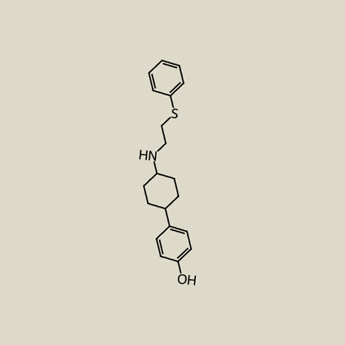 Oc1ccc(C2CCC(NCCSc3ccccc3)CC2)cc1